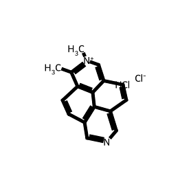 Cc1c2ccc3cncc4ccc(c[n+]1C)c2c43.Cl.[Cl-]